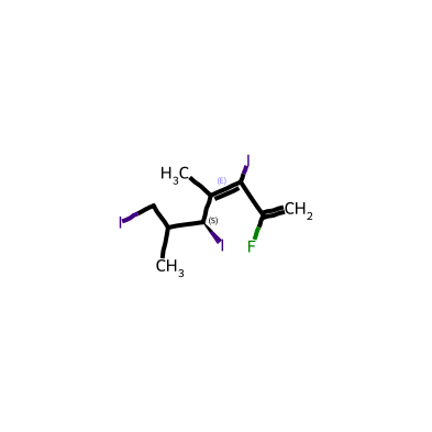 C=C(F)/C(I)=C(/C)[C@@H](I)C(C)CI